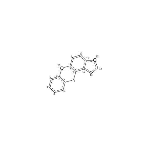 c1ccc2c(c1)Cc1c(ccc3occc13)O2